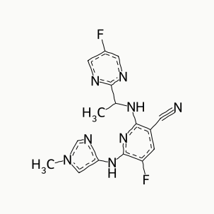 CC(Nc1nc(Nc2cn(C)cn2)c(F)cc1C#N)c1ncc(F)cn1